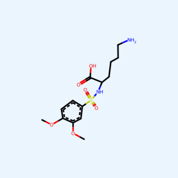 COc1ccc(S(=O)(=O)NC(CCCCN)C(=O)O)cc1OC